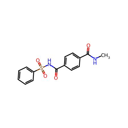 CNC(=O)c1ccc(C(=O)NS(=O)(=O)c2ccccc2)cc1